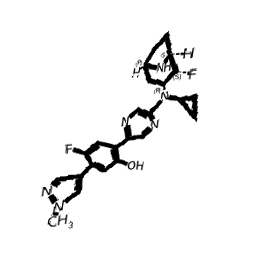 Cn1cc(-c2cc(O)c(-c3cnc(N(C4CC4)[C@@H]4C[C@H]5CC[C@H](N5)[C@@H]4F)cn3)cc2F)cn1